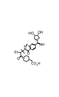 CCC(C(=O)N1CCC(CC(=O)O)CC1)C(C)(C)NC(=O)c1ccc(C(=N)N2C[C@@H](O)[C@@H](O)C2)cc1F